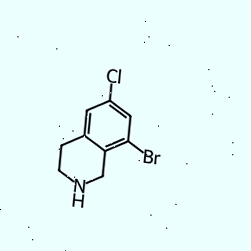 Clc1cc(Br)c2c(c1)CCNC2